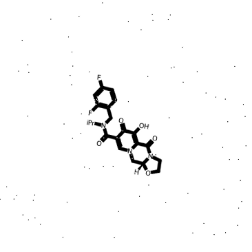 CC(C)N(Cc1ccc(F)cc1F)C(=O)c1cn2c(c(O)c1=O)C(=O)N1CCO[C@@H]1C2